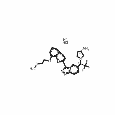 COCCOc1cccc2ccc(-c3nnc4ccc([C@@H](N5CC[C@H](N)C5)C(F)(F)F)cn34)nc12.Cl.Cl